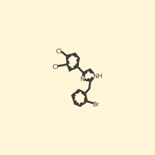 Clc1ccc(-c2c[nH]c(Cc3ccccc3Br)n2)cc1Cl